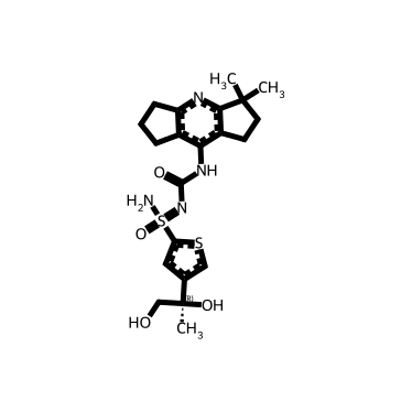 CC1(C)CCc2c1nc1c(c2NC(=O)N=S(N)(=O)c2cc([C@@](C)(O)CO)cs2)CCC1